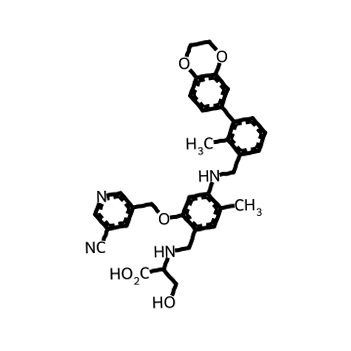 Cc1cc(CNC(CO)C(=O)O)c(OCc2cncc(C#N)c2)cc1NCc1cccc(-c2ccc3c(c2)OCCO3)c1C